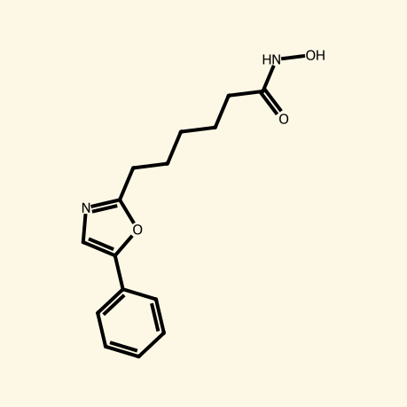 O=C(CCCCCc1ncc(-c2ccccc2)o1)NO